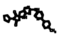 CN1CCN(c2ccc(Nc3ncc4c(n3)NC3(CC(=O)N(C5CCCC5)C3=O)C4)cn2)CC1